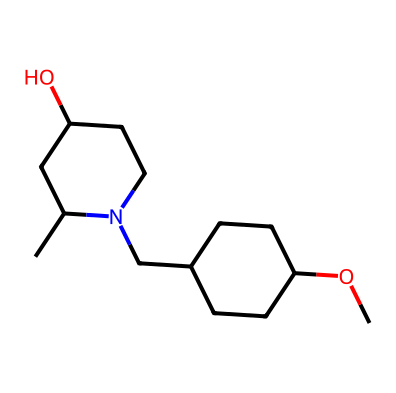 COC1CCC(CN2CCC(O)CC2C)CC1